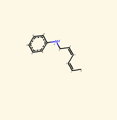 C/C=C\C=C/CNc1ccccc1